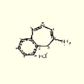 Cl.NC1=CN=Nc2ccccc2C1